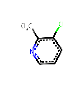 Clc1cccnc1C(Cl)(Cl)Cl